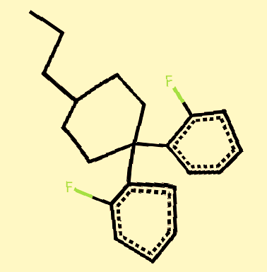 CCCC1CCC(c2ccccc2F)(c2ccccc2F)CC1